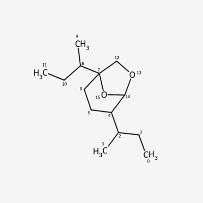 CCC(C)C1CCC2(C(C)CC)COC1O2